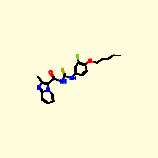 CCCCCOc1ccc(NC(=S)NC(=O)c2c(C)nc3ccccn23)cc1F